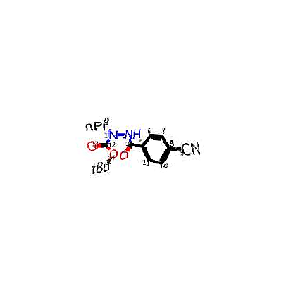 CCCN(NC(=O)c1ccc(C#N)cc1)C(=O)OC(C)(C)C